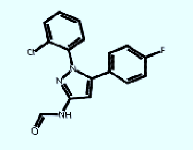 O=CNc1cc(-c2ccc(F)cc2)n(-c2ccccc2Cl)n1